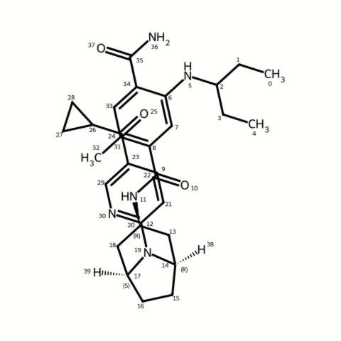 CCC(CC)Nc1cc(C(=O)N[C@H]2C[C@H]3CC[C@@H](C2)N3c2ccc(C(=O)C3CC3)cn2)c(C)cc1C(N)=O